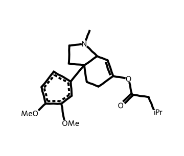 COc1ccc(C23CCC(OC(=O)CC(C)C)=CC2N(C)CC3)cc1OC